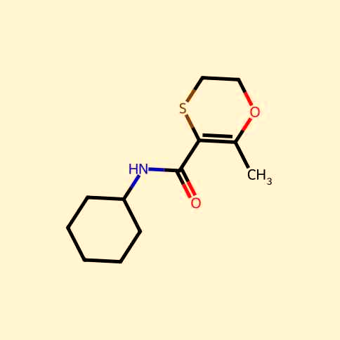 CC1=C(C(=O)NC2CCCCC2)SCCO1